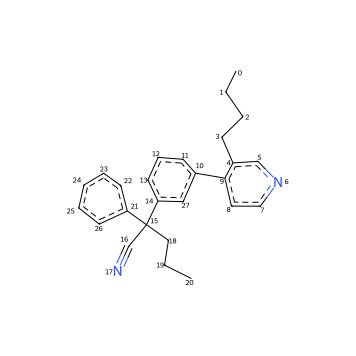 CCCCc1cnccc1-c1cccc(C(C#N)(CCC)c2ccccc2)c1